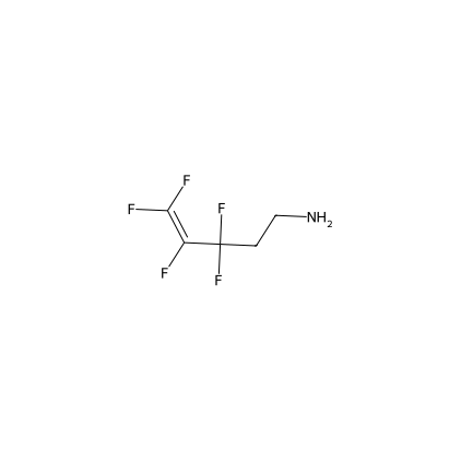 NCCC(F)(F)C(F)=C(F)F